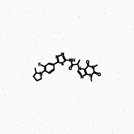 CC1CCCN1c1ccc(-c2nnc(NC(=O)C(C)n3cnc4c3c(=O)n(C)c(=O)n4C)s2)cc1F